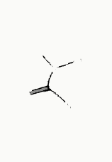 CCN(O)C(N)=S